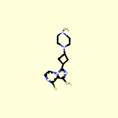 Cc1nc(C2CC(N3CCN(C)CC3)C2)n2ccnc(Cl)c12